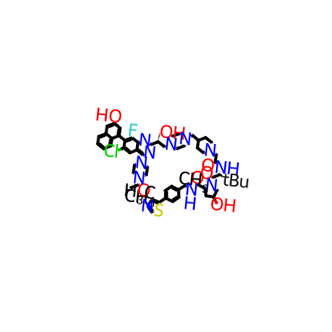 C=CC(=O)N1CCN(c2nc([C@H](CO)CN3CCN(CC4CCN(CC(=O)N[C@H](C(=O)N5CC(O)CC5C(=O)N[C@@H](C)c5ccc(-c6scnc6C)cc5)C(C)(C)C)CC4)CC3)nc3c(F)c(-c4cc(O)cc5ccccc45)c(Cl)cc23)CC1